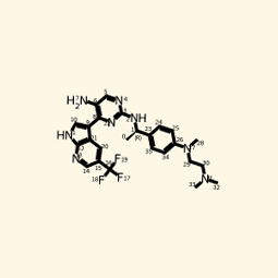 C[C@@H](Nc1ncc(N)c(-c2c[nH]c3ncc(C(F)(F)F)cc23)n1)c1ccc(N(C)CCN(C)C)cc1